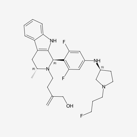 C=C(CO)CCN1[C@H](c2c(F)cc(N[C@H]3CCN(CCCF)C3)cc2F)c2[nH]c3ccccc3c2C[C@H]1C